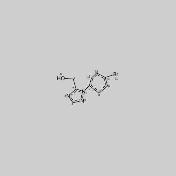 OCc1ncnn1-c1ccc(Br)cc1